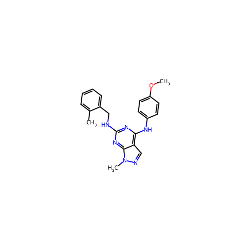 COc1ccc(Nc2nc(NCc3ccccc3C)nc3c2cnn3C)cc1